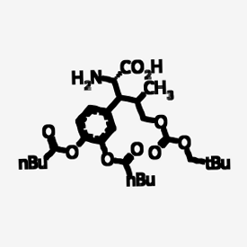 CCCCC(=O)Oc1ccc(C(C(C)COC(=O)OCC(C)(C)C)[C@H](N)C(=O)O)cc1OC(=O)CCCC